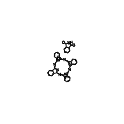 O=C1NC(=O)c2ccccc21.c1ccc2c(c1)-c1nc-2nc2[nH]c(nc3nc(nc4[nH]c(n1)c1ccccc41)-c1ccccc1-3)c1ccccc21